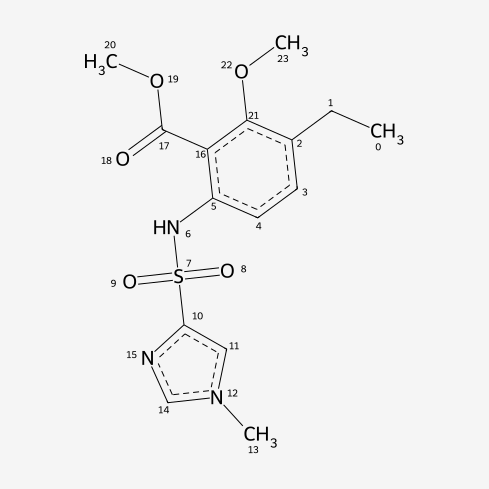 CCc1ccc(NS(=O)(=O)c2cn(C)cn2)c(C(=O)OC)c1OC